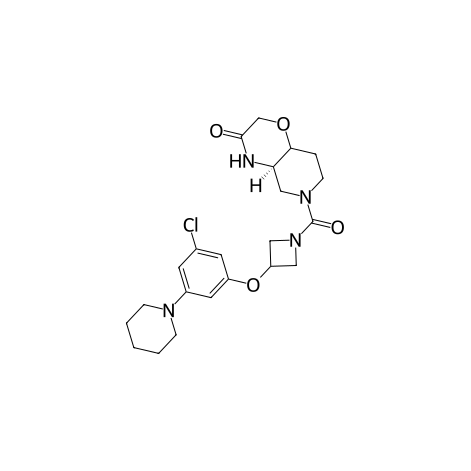 O=C1COC2CCN(C(=O)N3CC(Oc4cc(Cl)cc(N5CCCCC5)c4)C3)C[C@H]2N1